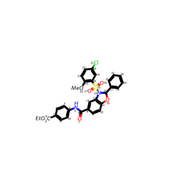 CCOC(=O)c1ccc(NC(=O)c2ccc3c(c2)N(S(=O)(=O)c2cc(Cl)ccc2OC)C(c2ccccc2)O3)cc1